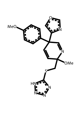 COc1ccc(C2(c3cocn3)C=CC(CSc3nnn[nH]3)(OC)N=C2)cc1